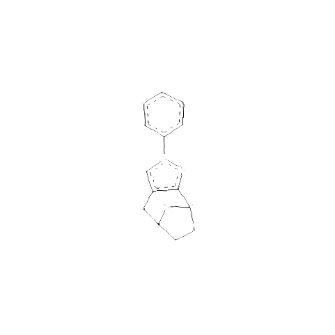 c1ccc(-n2cc3c(n2)C2CCC(C3)N2)cc1